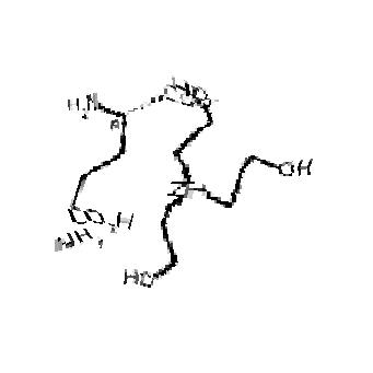 N.N[C@@H](CCC(=O)O)C(=O)[O-].OC[CH2][Zr+]([CH2]CO)[CH2]CO